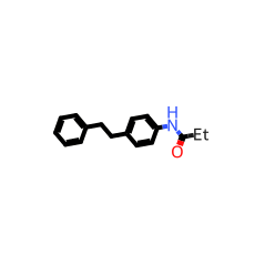 CCC(=O)Nc1ccc(CCc2ccccc2)cc1